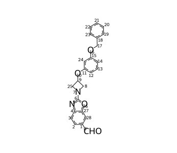 O=Cc1ccc2nc(N3CC(Oc4cccc(OCc5ccccc5)c4)C3)oc2c1